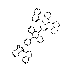 c1ccc2c(-c3c4ccccc4c(-c4cccc5ccccc45)c4cc(-c5c6ccccc6c(-c6ccc(-c7nc8ccccc8n7-c7cccc8ccccc78)cc6)c6ccccc56)ccc34)cccc2c1